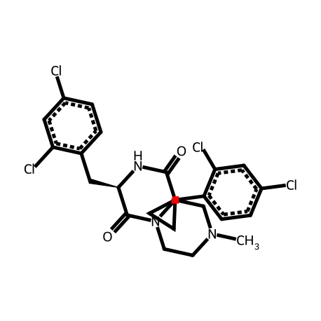 CN1CCN(C(=O)[C@@H](Cc2ccc(Cl)cc2Cl)NC(=O)C2(c3ccc(Cl)cc3Cl)CC2)CC1